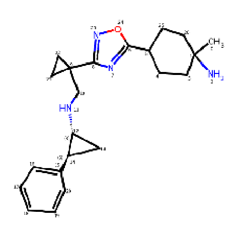 CC1(N)CCC(c2nc(C3(CN[C@@H]4C[C@H]4c4ccccc4)CC3)no2)CC1